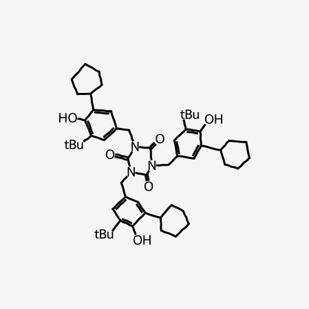 CC(C)(C)c1cc(Cn2c(=O)n(Cc3cc(C4CCCCC4)c(O)c(C(C)(C)C)c3)c(=O)n(Cc3cc(C4CCCCC4)c(O)c(C(C)(C)C)c3)c2=O)cc(C2CCCCC2)c1O